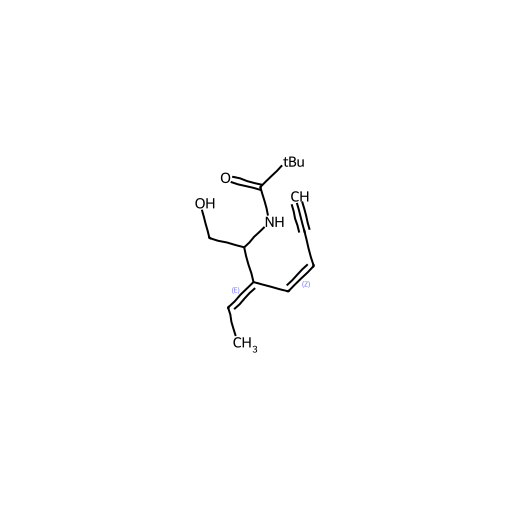 C#C/C=C\C(=C/C)C(CO)NC(=O)C(C)(C)C